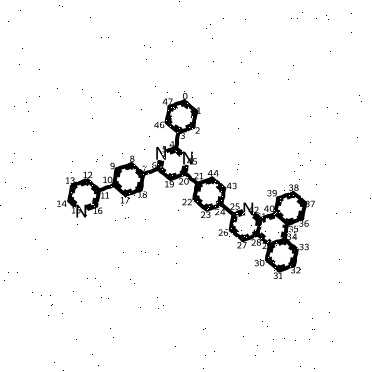 c1ccc(-c2nc(-c3ccc(-c4cccnc4)cc3)cc(-c3ccc(-c4ccc5c6ccccc6c6ccccc6c5n4)cc3)n2)cc1